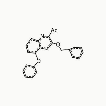 CC(=O)c1nc2cccc(Oc3ccccc3)c2cc1OCc1ccccc1